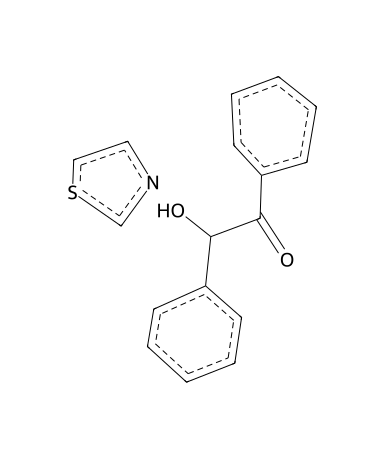 O=C(c1ccccc1)C(O)c1ccccc1.c1cscn1